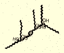 CCCCCCCCCCC(O)CN(CCOCCN(CC(O)CCCCCCCCCC)CC(O)CCCCCCCCCC)CCN1CCN(CCOCCN(CC(O)CCCCCCCCCC)CC(O)CCCCCCCCCC)CC1